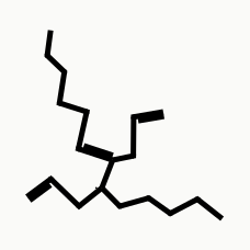 C=CC[C](CCCCC)C(=CCCCCC)CC=C